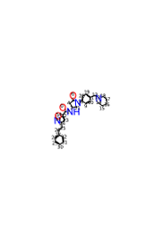 O=C(NC1CC(=O)N(c2ccc(CN3CCCCC3)cc2)C1)c1cc(CCc2ccccc2)no1